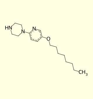 CCCCCCCCOc1ccc(N2CCNCC2)nc1